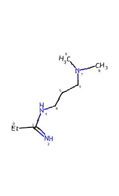 CCC(=N)NCCCN(C)C